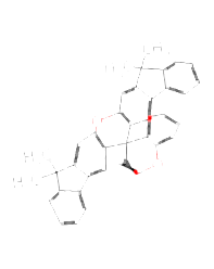 CC1(C)c2ccccc2-c2cc3c(cc21)Oc1cc2c(cc1C31c3ccccc3Oc3ccccc31)-c1ccccc1C2(C)C